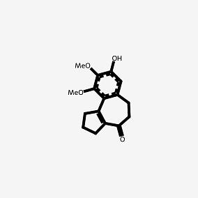 COc1c(O)cc2c(c1OC)C1=C(CCC1)C(=O)CC2